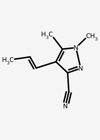 C/C=C/c1c(C#N)nn(C)c1C